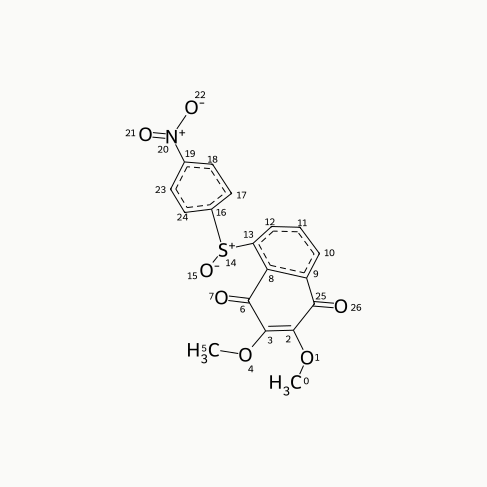 COC1=C(OC)C(=O)c2c(cccc2[S+]([O-])c2ccc([N+](=O)[O-])cc2)C1=O